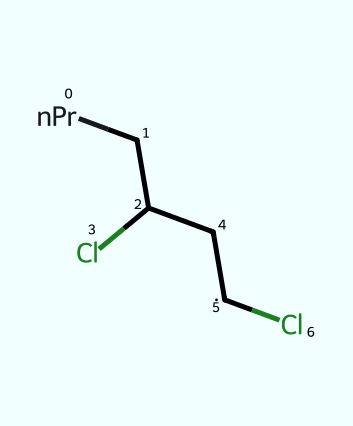 CCCCC(Cl)C[CH]Cl